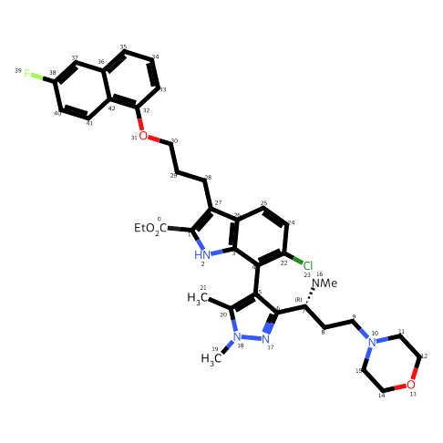 CCOC(=O)c1[nH]c2c(-c3c([C@@H](CCN4CCOCC4)NC)nn(C)c3C)c(Cl)ccc2c1CCCOc1cccc2cc(F)ccc12